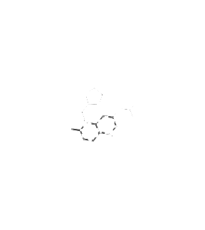 O=c1ccc2ncc(OC(F)F)cc2n1CC1OCCO1